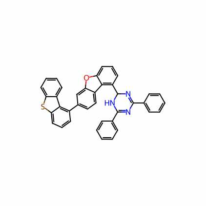 c1ccc(C2=NC(c3cccc4oc5cc(-c6cccc7sc8ccccc8c67)ccc5c34)NC(c3ccccc3)=N2)cc1